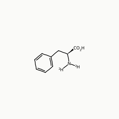 [2H]N([2H])[C@@H](Cc1ccccc1)C(=O)O